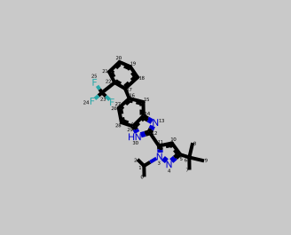 CC(C)n1nc(C(C)(C)C)cc1-c1nc2cc(-c3ccccc3C(F)(F)F)ccc2[nH]1